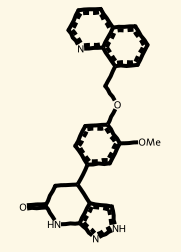 COc1cc(C2CC(=O)Nc3n[nH]cc32)ccc1OCc1cccc2cccnc12